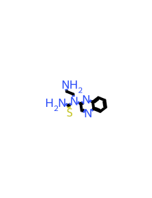 NCCN(C(N)=S)c1cnc2ccccc2n1